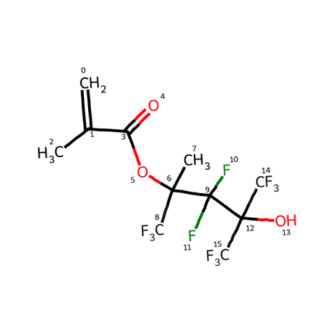 C=C(C)C(=O)OC(C)(C(F)(F)F)C(F)(F)C(O)(C(F)(F)F)C(F)(F)F